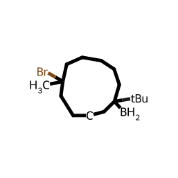 BC1(C(C)(C)C)CCCCCC(C)(Br)CCCC1